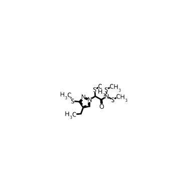 CCc1cn(C(SC)C(=O)N(SC)SC)nc1SC